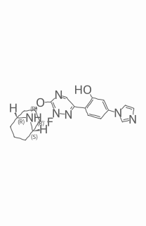 Oc1cc(-n2ccnc2)ccc1-c1cnc(O[C@@H]2C[C@H]3CCC[C@H](N3)[C@H]2F)nn1